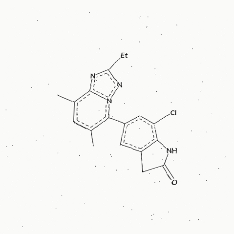 CCc1nc2c(C)cc(C)c(-c3cc(Cl)c4c(c3)CC(=O)N4)n2n1